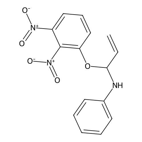 C=CC(Nc1ccccc1)Oc1cccc([N+](=O)[O-])c1[N+](=O)[O-]